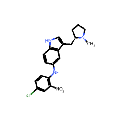 CN1CCC[C@@H]1Cc1c[nH]c2ccc(Nc3ccc(Cl)cc3[N+](=O)[O-])cc12